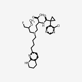 COC(CF)CN(CCCCc1ccc2c(n1)NCCC2)CCC(NC(=O)C1(c2cncnc2Cl)CC1)C(=O)O